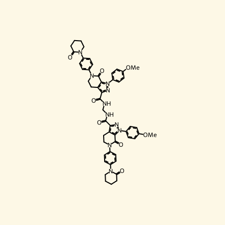 COc1ccc(-n2nc(C(=O)NCNC(=O)c3nn(-c4ccc(OC)cc4)c4c3CCN(c3ccc(N5CCCCC5=O)cc3)C4=O)c3c2C(=O)N(c2ccc(N4CCCCC4=O)cc2)CC3)cc1